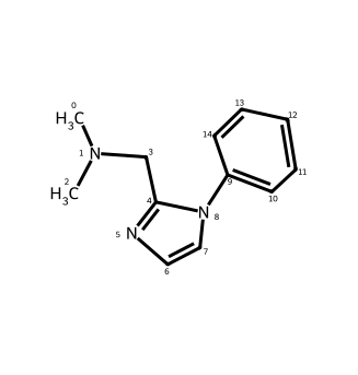 CN(C)Cc1nccn1-c1ccccc1